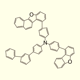 c1ccc(-c2cccc(-c3ccc(N(c4ccc(-c5cccc6oc7ccccc7c56)cc4)c4ccc(-c5cccc6oc7c8ccccc8ccc7c56)cc4)cc3)c2)cc1